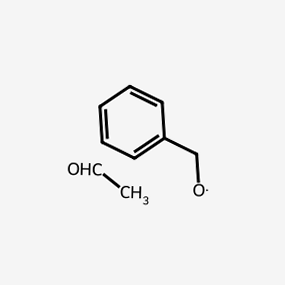 CC=O.[O]Cc1ccccc1